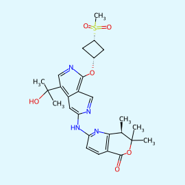 C[C@@H]1c2nc(Nc3cc4c(C(C)(C)O)cnc(O[C@H]5C[C@@H](S(C)(=O)=O)C5)c4cn3)ccc2C(=O)OC1(C)C